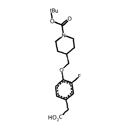 CC(C)(C)OC(=O)N1CCC(COc2ccc(CC(=O)O)cc2F)CC1